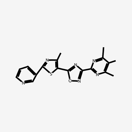 Cc1nc(-c2cccnc2)sc1-c1nc(-c2nc(C)c(C)c(C)n2)no1